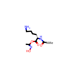 CNC(=O)N[C@@H](CCCCN)C(=O)OC(C)=NO